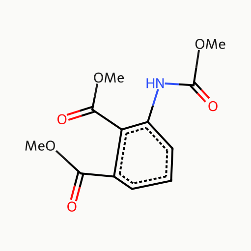 COC(=O)Nc1cccc(C(=O)OC)c1C(=O)OC